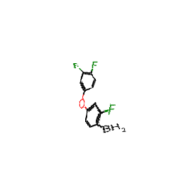 Bc1ccc(Oc2ccc(F)c(F)c2)cc1F